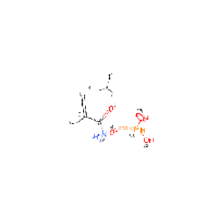 C=C(C)C(N)=O.CC(C)C.O=[PH](O)O